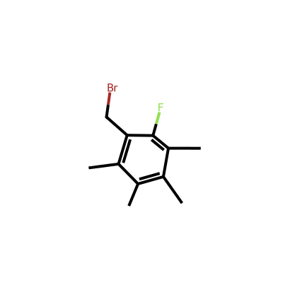 Cc1c(C)c(C)c(CBr)c(F)c1C